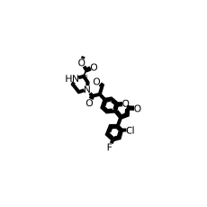 COC(=O)[C@H]1CN(C(=O)C(C=O)c2ccc3c(-c4ccc(F)cc4Cl)cc(=O)oc3c2)CCN1